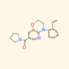 C=Cc1ccccc1N1CCOc2cc(C(=O)N3CCCC3)cnc21